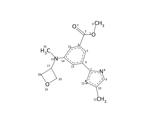 COC(=O)c1cc(-c2ncc(C)s2)cc(N(C)C2COC2)c1